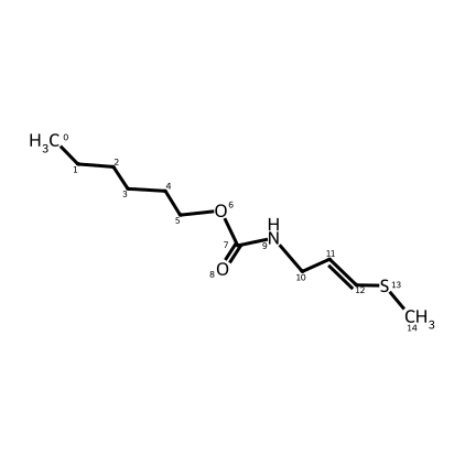 CCCCCCOC(=O)NC/C=C/SC